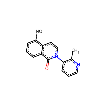 Cc1ncccc1-n1ccc2c(N=O)cccc2c1=O